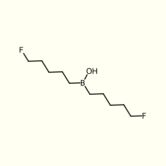 OB(CCCCCF)CCCCCF